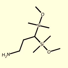 CO[Si](C)(C)C(CCN)[Si](C)(C)OC